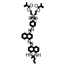 C=C(C)C(=O)OCCN(CCOC(=O)C(=C)C)S(=O)(=O)c1ccc(/N=N/c2ccc(/N=N/c3ccc4c5c(cccc35)NC(C)(CCC)N4)c3ccccc23)cc1